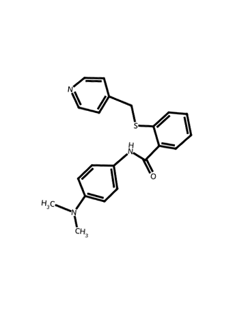 CN(C)c1ccc(NC(=O)c2ccccc2SCc2ccncc2)cc1